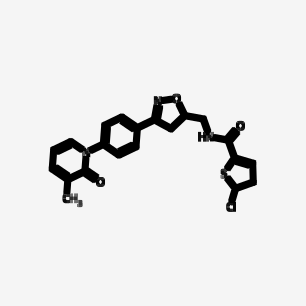 Cc1cccn(-c2ccc(C3=NOC(CNC(=O)C4=CCC(Cl)S4)C3)cc2)c1=O